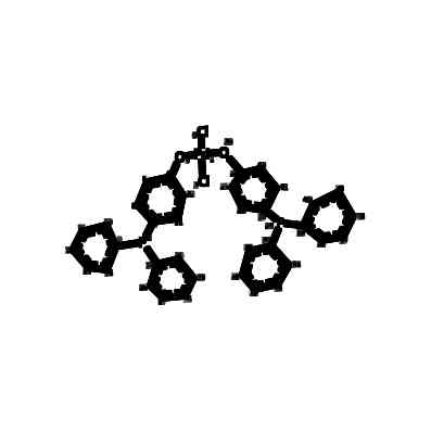 [Cl][Pd]([Cl])([O]c1ccc(P(c2ccccc2)c2ccccc2)cc1)[O]c1ccc(P(c2ccccc2)c2ccccc2)cc1